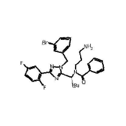 CC(C)(C)[C@H](c1nc(-c2cc(F)ccc2F)nn1Cc1cccc(Br)c1)N(CCCN)C(=O)c1ccccc1